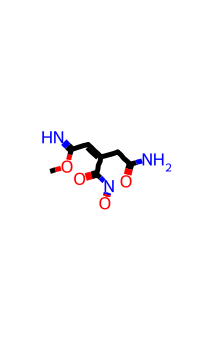 COC(=N)/C=C(/CC(N)=O)C(=O)N=O